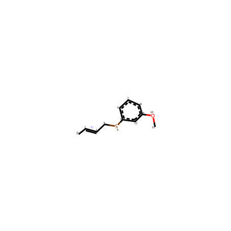 [CH2]/C=C/CSc1cccc(OC)c1